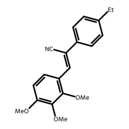 CCc1ccc(C(C#N)=Cc2ccc(OC)c(OC)c2OC)cc1